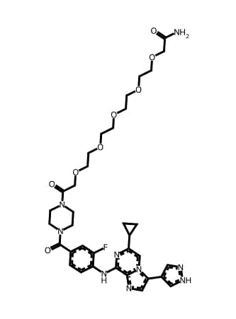 NC(=O)COCCOCCOCCOCCOCC(=O)N1CCN(C(=O)c2ccc(Nc3nc(C4CC4)cn4c(-c5cn[nH]c5)cnc34)c(F)c2)CC1